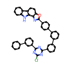 Clc1nc(-c2cccc(-c3ccccc3)c2)nc(-c2cccc(-c3cccc(-c4ccc(-c5nc6c(ccc7c8ccccc8[nH]c76)o5)cc4)c3)c2)n1